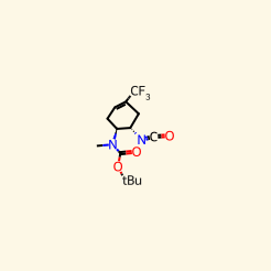 CN(C(=O)OC(C)(C)C)[C@H]1CC=C(C(F)(F)F)C[C@@H]1N=C=O